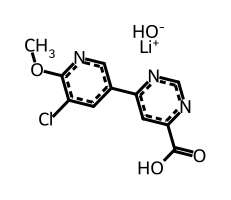 COc1ncc(-c2cc(C(=O)O)ncn2)cc1Cl.[Li+].[OH-]